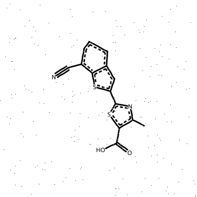 Cc1nc(-c2cc3cccc(C#N)c3s2)sc1C(=O)O